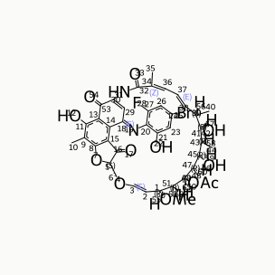 CO[C@H]1/C=C/O[C@@]2(C)Oc3c(C)c(O)c4c(c3C2=O)/C(=N/c2c(O)cc(Br)cc2F)C=C(NC(=O)/C(C)=C\C=C\[C@H](C)[C@H](O)[C@@H](C)[C@@H](O)[C@@H](C)[C@H](OC(C)=O)[C@@H]1C)C4=O